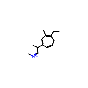 CCC1=C(C)C=C(C(C)/C=N\C)C=CC1